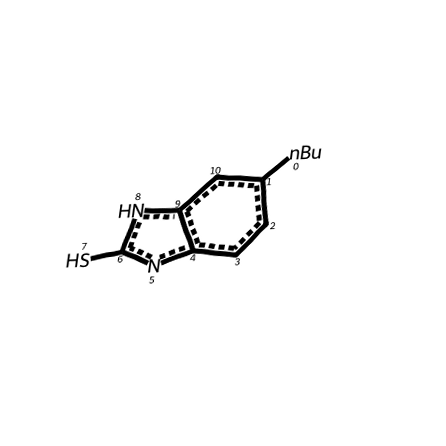 CCCCc1ccc2nc(S)[nH]c2c1